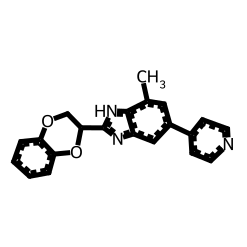 Cc1cc(-c2ccncc2)cc2nc(C3COc4ccccc4O3)[nH]c12